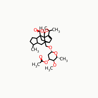 CO[C@H]1[C@@H](OC(C)=O)C[C@H](OCC23CC4C(C)CCC4C4(C=O)CC2C=C(C(C)C)C43C(=O)O)O[C@@H]1C